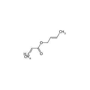 C.C=CC(=O)OCC=CC